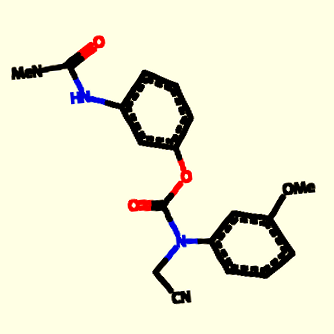 CNC(=O)Nc1cccc(OC(=O)N(CC#N)c2cccc(OC)c2)c1